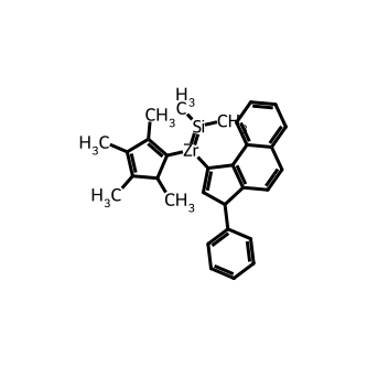 CC1=C(C)C(C)[C]([Zr]([C]2=CC(c3ccccc3)c3ccc4ccccc4c32)=[Si](C)C)=C1C